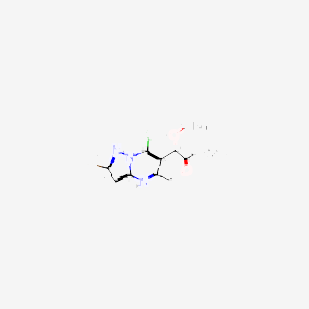 COC(=O)[C@@H](OC(C)(C)C)c1c(C)nc2cc(Br)nn2c1Cl